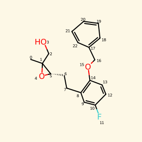 CC1(CO)O[C@H]1CCc1cc(F)ccc1OCc1ccccc1